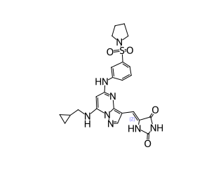 O=C1NC(=O)/C(=C/c2cnn3c(NCC4CC4)cc(Nc4cccc(S(=O)(=O)N5CCCC5)c4)nc23)N1